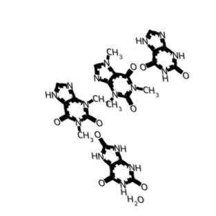 Cn1c(=O)c2[nH]cnc2n(C)c1=O.Cn1c(=O)c2c(ncn2C)n(C)c1=O.O.O=c1[nH]c(=O)c2[nH]c(=O)[nH]c2[nH]1.O=c1[nH]c(=O)c2[nH]cnc2[nH]1